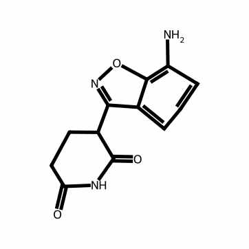 Nc1cccc2c(C3CCC(=O)NC3=O)noc12